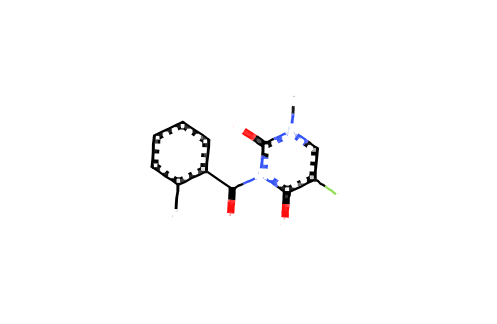 CC(=O)n1cc(F)c(=O)n(C(=O)c2ccccc2C)c1=O